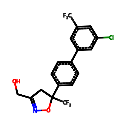 OCC1=NOC(c2ccc(-c3cc(Cl)cc(C(F)(F)F)c3)cc2)(C(F)(F)F)C1